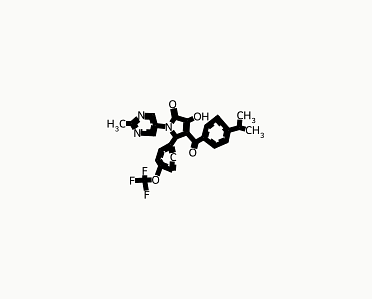 Cc1ncc(N2C(=O)C(O)=C(C(=O)c3ccc(C(C)C)cc3)C2c2ccc(OC(F)(F)F)cc2)cn1